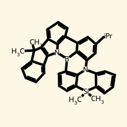 CC(C)c1cc2c3c(c1)N1c4ccccc4[Si](C)(C)c4cccc(c41)B3n1c3c(c4cccc-2c41)C(C)(C)c1ccccc1-3